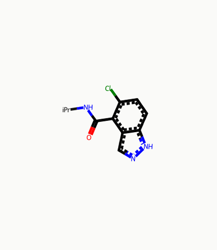 CC(C)NC(=O)c1c(Cl)ccc2[nH]ncc12